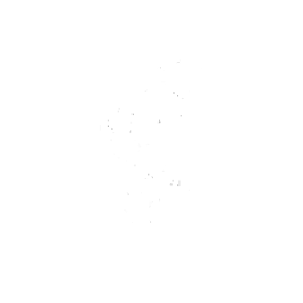 CCOc1ccc(N(C(N)=O)c2ccc3[nH]cc(C4CCN5CCCCC5C4)c3c2)cc1